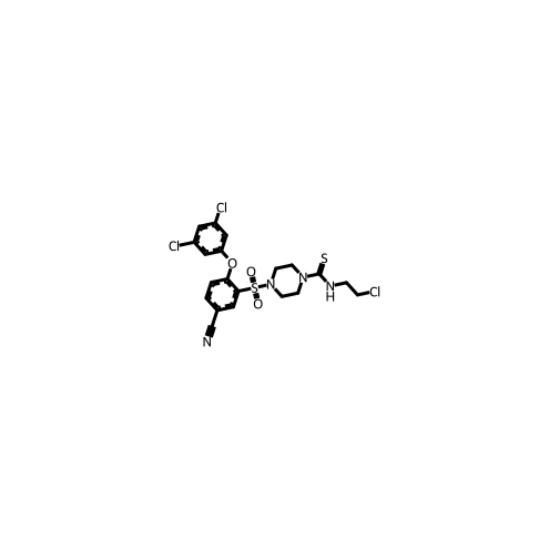 N#Cc1ccc(Oc2cc(Cl)cc(Cl)c2)c(S(=O)(=O)N2CCN(C(=S)NCCCl)CC2)c1